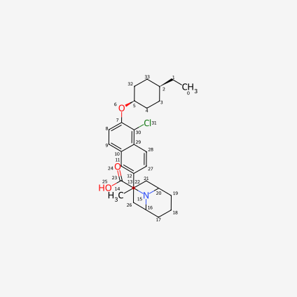 CC[C@H]1CC[C@@H](Oc2ccc3cc(C(C)N4C5CCCC4CC(C(=O)O)C5)ccc3c2Cl)CC1